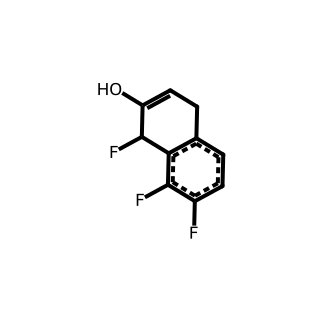 OC1=CCc2ccc(F)c(F)c2C1F